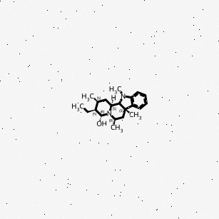 CC[C@@H]1[C@@H](O)N2[C@H](C)C[C@@]3(C)c4ccccc4N(C)C3[C@@H]2C[C@@H]1C